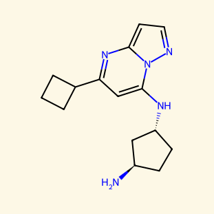 N[C@@H]1CC[C@@H](Nc2cc(C3CCC3)nc3ccnn23)C1